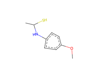 COc1ccc(NC(C)S)cc1